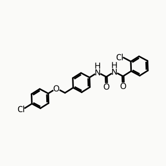 O=C(NC(=O)c1ccccc1Cl)Nc1ccc(COc2ccc(Cl)cc2)cc1